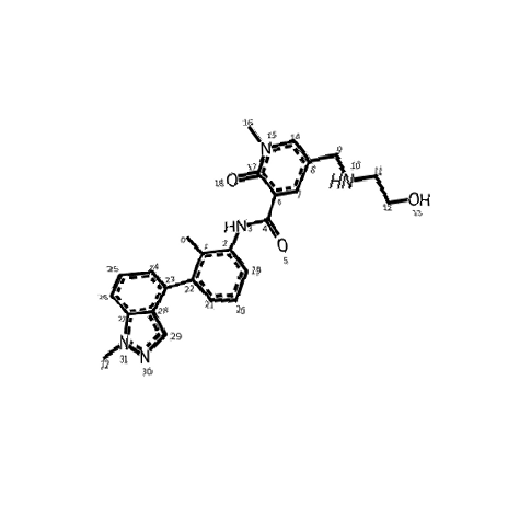 Cc1c(NC(=O)c2cc(CNCCO)cn(C)c2=O)cccc1-c1cccc2c1cnn2C